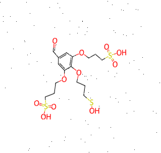 O=Cc1cc(OCCCS(=O)(=O)O)c(OCCCSO)c(OCCCS(=O)(=O)O)c1